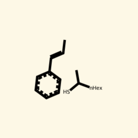 CC=Cc1ccccc1.CCCCCCC(C)S